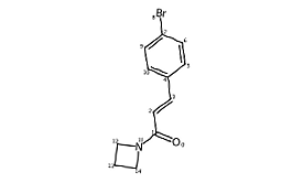 O=C(C=Cc1ccc(Br)cc1)N1CCC1